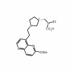 CCN(C[C@H]1CCN(CCc2ccnc3ccc(OC)nc23)C1)C(=O)O